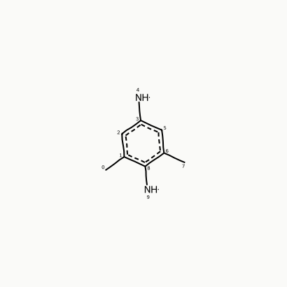 Cc1cc([NH])cc(C)c1[NH]